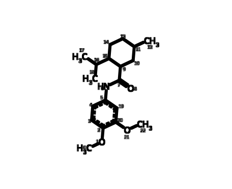 COc1ccc(NC(=O)C2CC(C)CCC2C(C)C)cc1OC